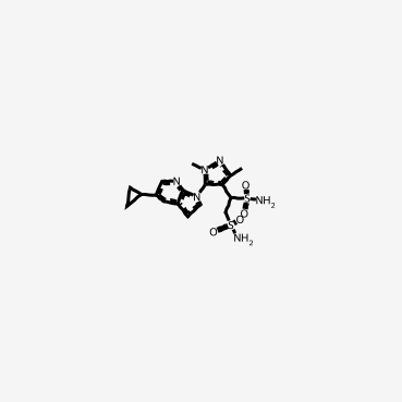 Cc1nn(C)c(-n2ccc3cc(C4CC4)cnc32)c1C(CS(N)(=O)=O)S(N)(=O)=O